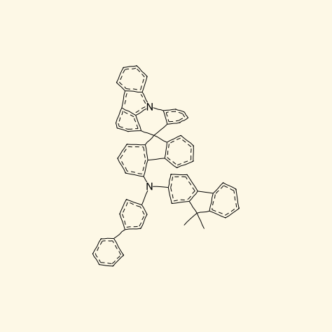 CC1(C)c2ccccc2-c2ccc(N(c3ccc(-c4ccccc4)cc3)c3cccc4c3-c3ccccc3C43c4ccccc4-n4c5ccccc5c5cccc3c54)cc21